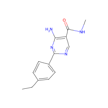 CCc1ccc(-c2ncc(C(=O)NC)c(N)n2)cc1